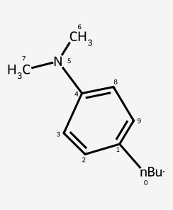 [CH2]CC[CH]c1ccc(N(C)C)cc1